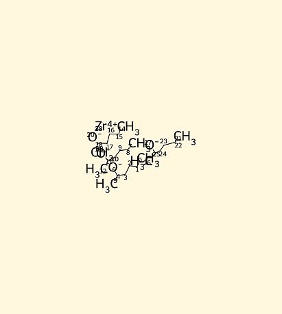 CCCCC(C)[O-].CCCCC(C)[O-].CCCCC(C)[O-].CCCCC(C)[O-].[Zr+4]